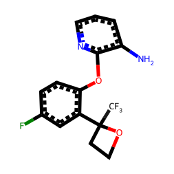 Nc1cccnc1Oc1ccc(F)cc1C1(C(F)(F)F)CCO1